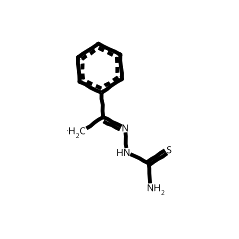 [CH2]C(=NNC(N)=S)c1ccccc1